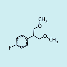 COCC(COC)c1ccc(F)cc1